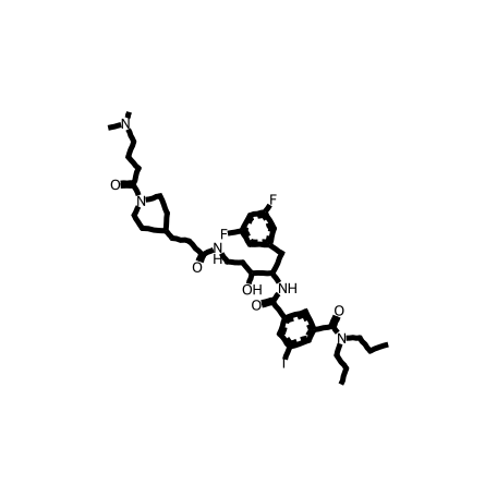 CCCN(CCC)C(=O)c1cc(I)cc(C(=O)NC(Cc2cc(F)cc(F)c2)C(O)CCNC(=O)CCC2CCN(C(=O)CCCN(C)C)CC2)c1